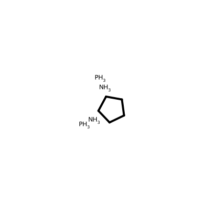 C1CCCC1.N.N.P.P